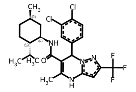 CC1=C(C(=O)N[C@@H]2C[C@H](C)CC[C@H]2C(C)C)C(c2ccc(Cl)c(Cl)c2)n2nc(C(F)(F)F)cc2N1